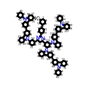 N#Cc1cccc(-c2ccc(-c3nc(-c4cccc(-n5c6ccccc6c6cc(-c7ccc8c(c7)c7ccccc7n8-c7ccccc7)ccc65)c4)cc(-c4cc(-n5c6ccccc6c6cc(-c7ccc8c(c7)c7ccccc7n8-c7ccccc7)ccc65)cc(-n5c6ccccc6c6cc(-c7ccc8c(c7)c7ccccc7n8-c7ccccc7)ccc65)c4)n3)cc2)c1